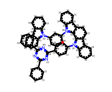 c1ccc(-c2nc(-c3ccccc3)nc(-c3ccc(-n4c5ccccc5c5ccc6c7ccccc7n(-c7cccc(-n8c9ccccc9c9ccccc98)c7)c6c54)cc3)n2)cc1